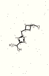 C[C@H](O)c1nnc(CC2CC(NCl)C2)s1